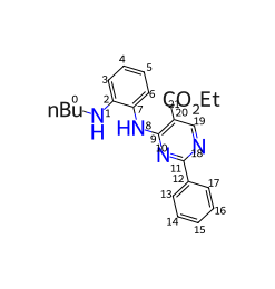 CCCCNc1ccccc1Nc1nc(-c2ccccc2)ncc1C(=O)OCC